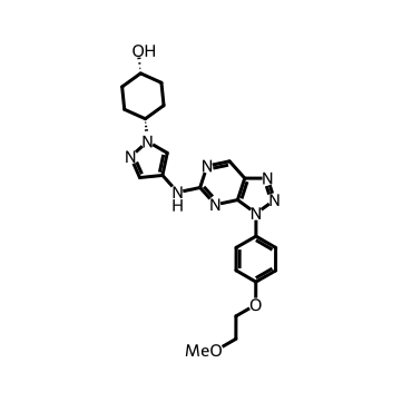 COCCOc1ccc(-n2nnc3cnc(Nc4cnn([C@H]5CC[C@@H](O)CC5)c4)nc32)cc1